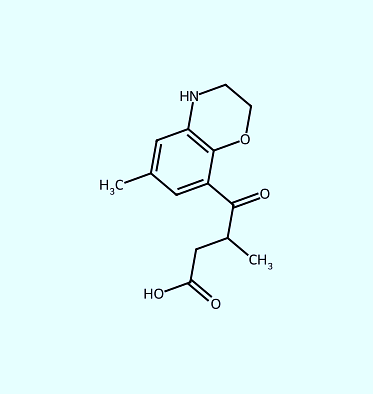 Cc1cc2c(c(C(=O)C(C)CC(=O)O)c1)OCCN2